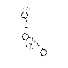 COc1ccc(CNC(=O)Oc2ccc3c(c2)c(=O)n(CCOc2ccc(Cl)cc2)c2nncn32)cc1